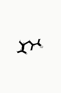 CC(=O)C(C)CC(C)=C(C)C